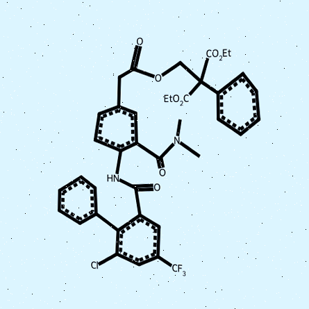 CCOC(=O)C(COC(=O)Cc1ccc(NC(=O)c2cc(C(F)(F)F)cc(Cl)c2-c2ccccc2)c(C(=O)N(C)C)c1)(C(=O)OCC)c1ccccc1